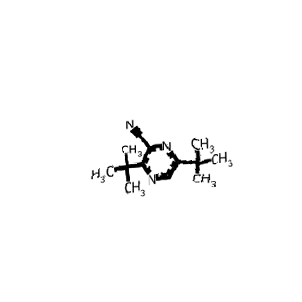 CC(C)(C)c1cnc(C(C)(C)C)c(C#N)n1